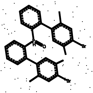 Cc1cc(-c2ccccc2[PH](=O)c2ccccc2-c2cc(C)c(Br)cc2C)c(C)cc1Br